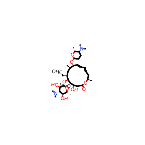 CO[C@@H]1[C@@H](O[C@@H]2O[C@H](C)[C@@H](O)[C@H](N(C)C)[C@H]2O)[C@@H](CC=O)C[C@@H](C)[C@@H](O[C@H]2CC[C@H](N(C)C)[C@@H](C)O2)/C=C/C=C/C[C@@H](C)OC(=O)C[C@H]1O